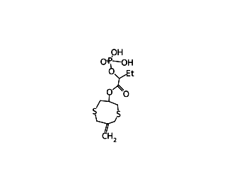 C=C1CSCC(OC(=O)C(CC)OP(=O)(O)O)CSC1